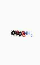 NC(=O)Oc1ccc2c(c1)O[C@H](c1ccccc1)C2